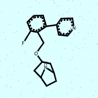 Fc1cccc(-c2ccncc2)c1COC1CC2CCC(C1)N2